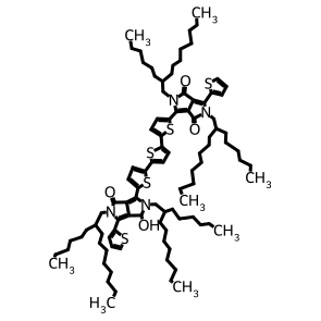 CCCCCCCCC(CCCCCC)CN1C(=O)C2=C(c3ccc(-c4ccc(-c5ccc(C6=C7C(=O)N(CC(CCCCCC)CCCCCCCC)C(c8cccs8)=C7C(O)N6CC(CCCCCC)CCCCCCCC)s5)s4)s3)N(CC(CCCCCC)CCCCCCCC)C(=O)C2=C1c1cccs1